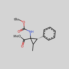 COC(=O)C1(NC(=O)OC(C)(C)C)C(C)[C@H]1c1ccccc1